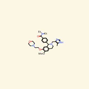 CCN(CC)C(=O)c1ccc(C2c3cc(OCCN4CCOCC4)c(OC)cc3CCN2Cc2nc[nH]c2C)cc1